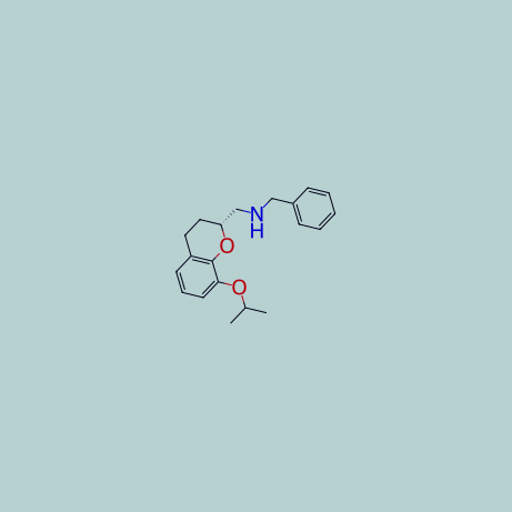 CC(C)Oc1cccc2c1O[C@@H](CNCc1ccccc1)CC2